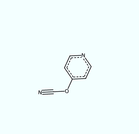 N#COc1ccncc1